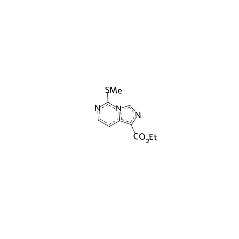 CCOC(=O)c1ncn2c(SC)nccc12